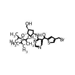 CC(C)[Si](O[C@H]1C[C@H](Nc2ncncc2C(=O)c2cc(CBr)cs2)C[C@@H]1CO)(C(C)C)C(C)C